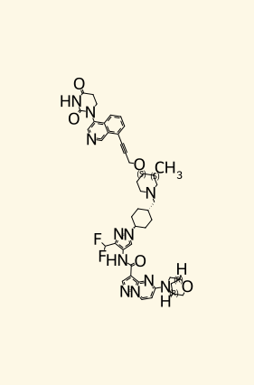 C[C@H]1CN(C[C@H]2CC[C@H](n3cc(NC(=O)c4cnn5ccc(N6C[C@H]7C[C@@H]6CO7)nc45)c(C(F)F)n3)CC2)CC[C@@H]1OCC#Cc1cccc2c(N3CCC(=O)NC3=O)cncc12